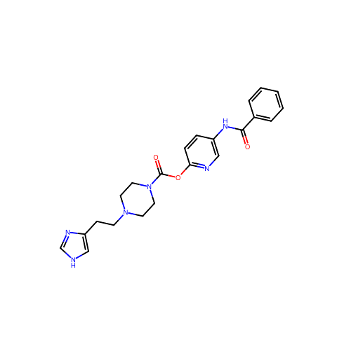 O=C(Nc1ccc(OC(=O)N2CCN(CCc3c[nH]cn3)CC2)nc1)c1ccccc1